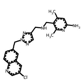 Cc1cc(N)nc(C)c1CNCc1cnn(Cc2ccc3ncc(Cl)cc3c2)n1